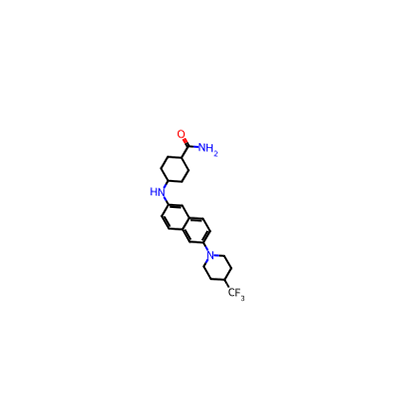 NC(=O)C1CCC(Nc2ccc3cc(N4CCC(C(F)(F)F)CC4)ccc3c2)CC1